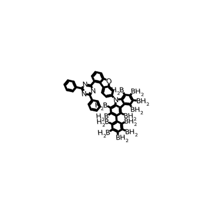 Bc1c(B)c(B)c(-c2c(B)c(B)c3c(c2B)c2c(B)c(B)c(B)c(B)c2n3-c2ccc3c(c2)oc2cccc(-c4nc(-c5ccccc5)nc(-c5ccccc5)n4)c23)c(B)c1B